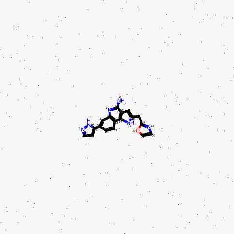 Nc1nc2cc(-c3ccn[nH]3)ccc2c2[nH]c(Cc3ncco3)cc12